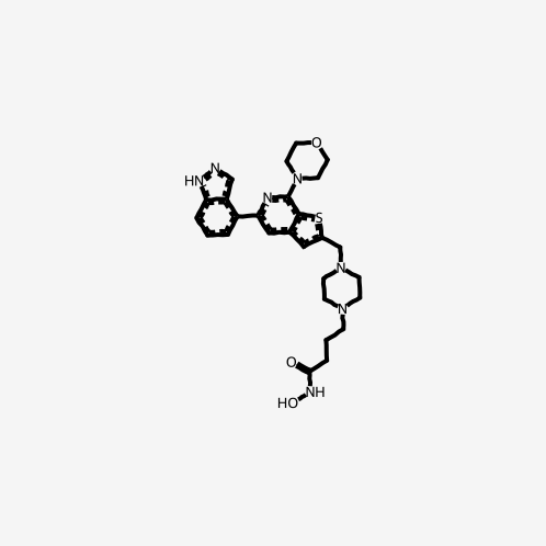 O=C(CCCN1CCN(Cc2cc3cc(-c4cccc5[nH]ncc45)nc(N4CCOCC4)c3s2)CC1)NO